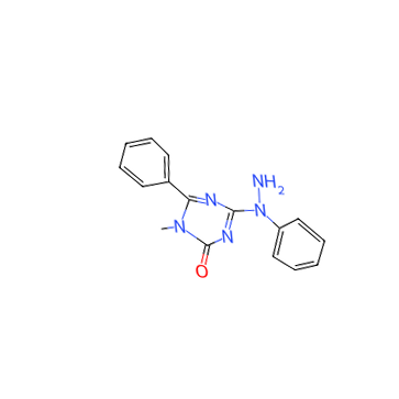 Cn1c(-c2ccccc2)nc(N(N)c2ccccc2)nc1=O